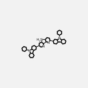 c1ccc(-n2c3ccccc3c3cc(-c4cnc5c(c4)[SiH2]c4ccc(-c6ccc7c8ccccc8n(-c8ccccc8)c7c6)nc4-5)ccc32)cc1